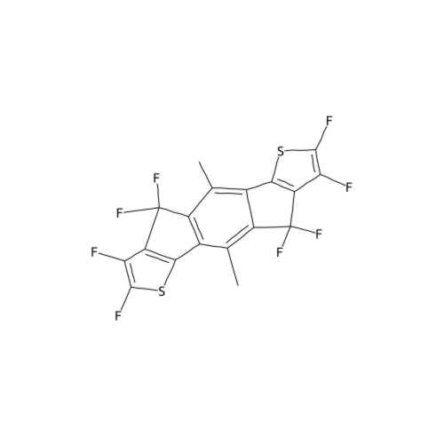 Cc1c2c(c(C)c3c1C(F)(F)c1c-3sc(F)c1F)C(F)(F)c1c-2sc(F)c1F